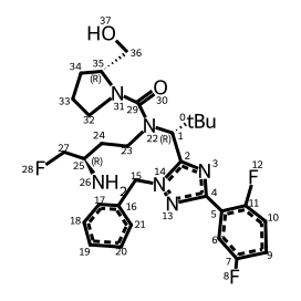 CC(C)(C)[C@H](c1nc(-c2cc(F)ccc2F)nn1Cc1ccccc1)N(CC[C@@H](N)CF)C(=O)N1CCC[C@@H]1CO